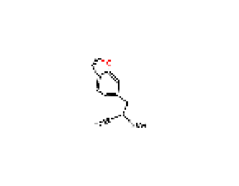 C#C[C@@H](Cc1ccc2ccoc2c1)NC